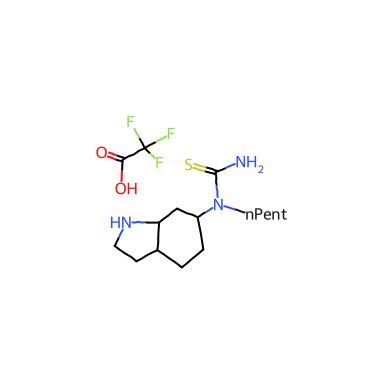 CCCCCN(C(N)=S)C1CCC2CCNC2C1.O=C(O)C(F)(F)F